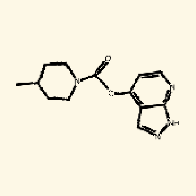 CC1CCN(C(=O)Oc2c[c]nc3[nH]ncc23)CC1